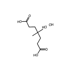 CC(C)(CCC(=O)O)CCC(=O)O.Cl.Cl